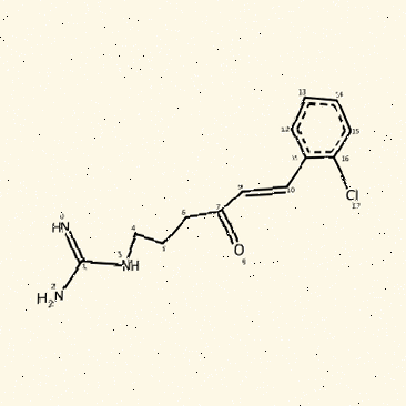 N=C(N)NCCCC(=O)C=Cc1ccccc1Cl